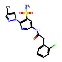 N#Cc1cnn(-c2ncc(NC(=O)Cc3ccccc3Cl)cc2S(N)(=O)=O)c1